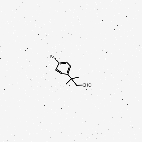 CC(C)(CC=O)c1ccc(Br)cc1